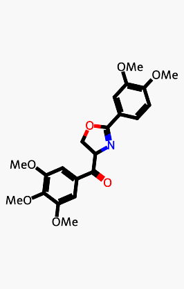 COc1ccc(C2=NC(C(=O)c3cc(OC)c(OC)c(OC)c3)CO2)cc1OC